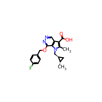 Cc1c(C(=O)O)c2cnnc(OCc3ccc(F)cc3)c2n1C[C@H]1C[C@@H]1C